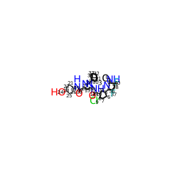 CNc1nc(-c2ccc(Cl)c(C(=O)Nc3cc(C(=O)NC4CCC(O)CC4)nn3-c3ccccc3)c2)c(F)cc1F